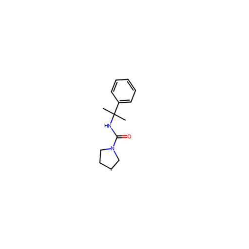 CC(C)(NC(=O)N1C[CH]CC1)c1ccccc1